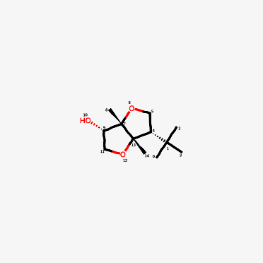 CC(C)(C)[C@H]1CO[C@@]2(C)[C@@H](O)CO[C@@]12C